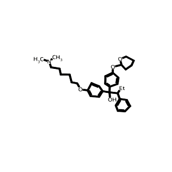 CCC(c1ccccc1)C(O)(c1ccc(OCCCCCCN(C)C)cc1)c1ccc(OC2CCCCO2)cc1